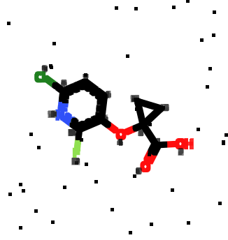 O=C(O)C1(Oc2ccc(Cl)nc2F)CC1